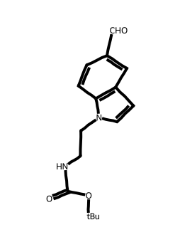 CC(C)(C)OC(=O)NCCn1ccc2cc(C=O)ccc21